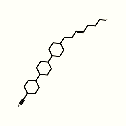 N#CC1CCC(C2CCC(C3CCC(CCC=CCCCF)CC3)CC2)CC1